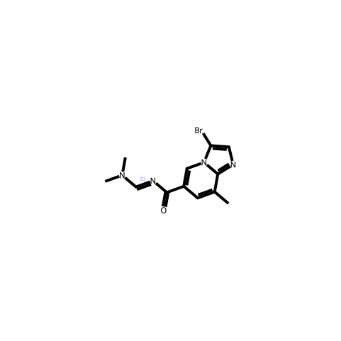 Cc1cc(C(=O)/N=C/N(C)C)cn2c(Br)cnc12